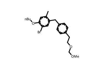 CCCCOc1cc(C)c(Cc2ccc(CCOCOC)cc2)cc1Br